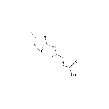 Cc1cnc(NC(=O)C=CC(=O)O)s1